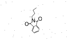 CCC[CH]N1C(=O)c2ccccc2C1=O